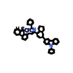 CC1(C)c2ccccc2-c2cccc(C/C=C(\N=C(/N)c3ccccc3)C3=C4C=CC=CC4C=C(c4ccc5c(c4)c4ccccc4n5-c4ccccc4)C=C3)c21